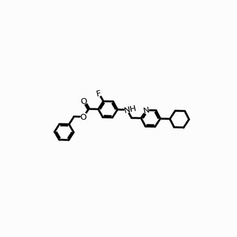 O=C(OCc1ccccc1)c1ccc(NCc2ccc(C3CCCCC3)cn2)cc1F